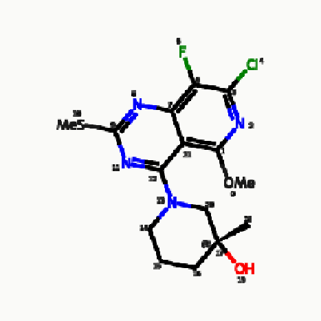 COc1nc(Cl)c(F)c2nc(SC)nc(N3CCC[C@@](C)(O)C3)c12